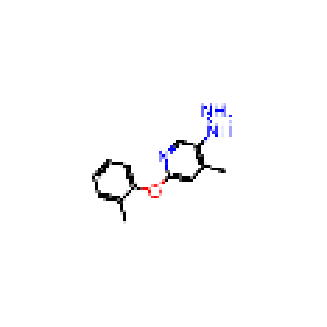 Cc1cc(Oc2ccccc2C)ncc1NN